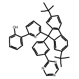 CC(C)(C)c1ccc2c(c1)C(c1cccc(-c3ncncn3)c1)(c1cccc(-c3ccccc3O)n1)c1cc(C(C)(C)C)ccc1-2